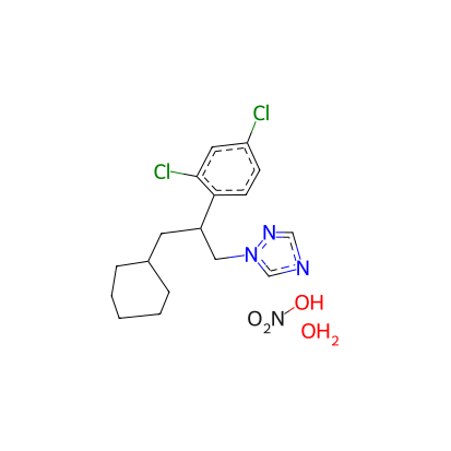 Clc1ccc(C(CC2CCCCC2)Cn2cncn2)c(Cl)c1.O.O=[N+]([O-])O